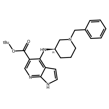 CC(C)(C)OC(=O)c1cnc2[nH]ccc2c1N[C@@H]1CCCN(Cc2ccccc2)C1